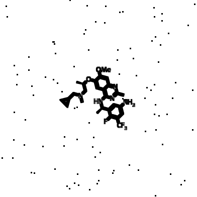 COc1cc2nc(C)nc(N[C@H](C)c3cc(N)cc(C(F)(F)F)c3F)c2cc1O[C@H](C)CN(C)CC1CC1